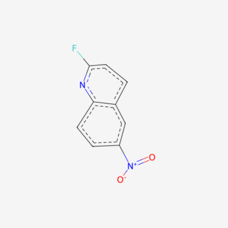 O=[N+]([O-])c1ccc2nc(F)ccc2c1